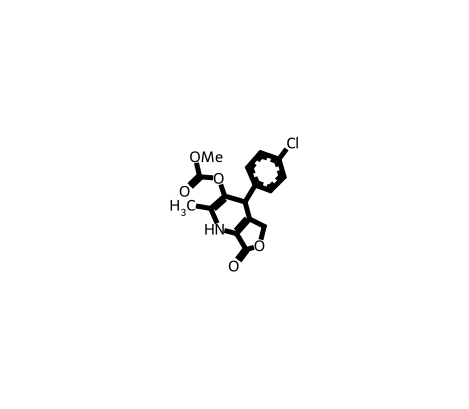 COC(=O)OC1=C(C)NC2=C(COC2=O)C1c1ccc(Cl)cc1